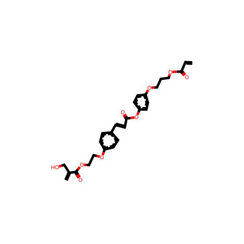 C=CC(=O)OCCCOc1ccc(OC(=O)/C=C/c2ccc(OCCOC(=O)C(=C)CO)cc2)cc1